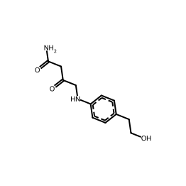 NC(=O)CC(=O)CNc1ccc(CCO)cc1